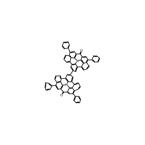 O=c1c2cc(-c3ccccc3)c3cccc4c5cc(-c6cc7c8cccc9c(-c%10ccccc%10)cc%10c(=O)c%11cc(-c%12ccccc%12)c%12cccc%13c(c6)c7n(c%10c98)c%11c%12%13)cc6c7cccc8c(-c9ccccc9)cc1c(c87)n(c56)c2c34